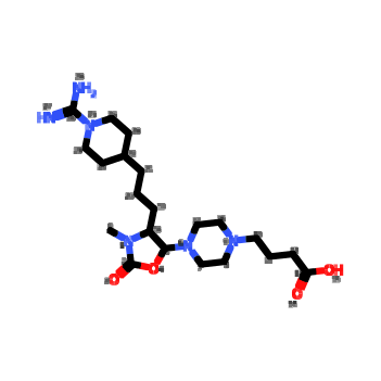 CN1C(=O)OC(N2CCN(CCCC(=O)O)CC2)C1CCCC1CCN(C(=N)N)CC1